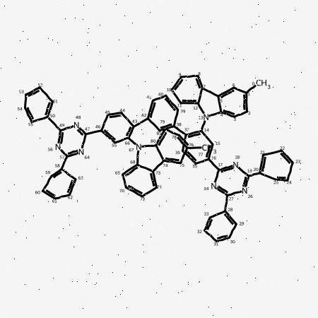 Cc1ccc2c(c1)c1ccccc1n2-c1cc(-c2nc(-c3ccccc3)nc(-c3ccccc3)n2)ccc1-c1cccc(-c2ccc(-c3nc(-c4ccccc4)nc(-c4ccccc4)n3)cc2-n2c3ccccc3c3cc(C)ccc32)c1